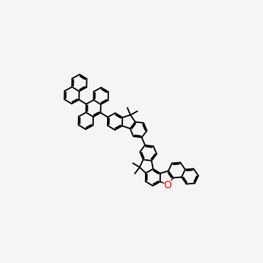 CC1(C)c2ccc(-c3ccc4c(c3)C(C)(C)c3ccc5oc6c7ccccc7ccc6c5c3-4)cc2-c2ccc(-c3c4ccccc4c(-c4cccc5ccccc45)c4ccccc34)cc21